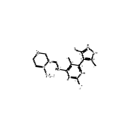 CCOC(=O)N1CCOC[C@H]1CNc1nc(CC)nc(-c2c(C)noc2C)c1C